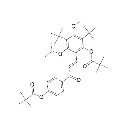 COc1c(C(C)(C)C)c(OC(=O)C(C)(C)C)c(C=CC(=O)c2ccc(OC(=O)C(C)(C)C)cc2)c(OC(C)C)c1C(C)(C)C